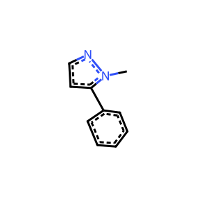 Cn1nccc1-c1ccccc1